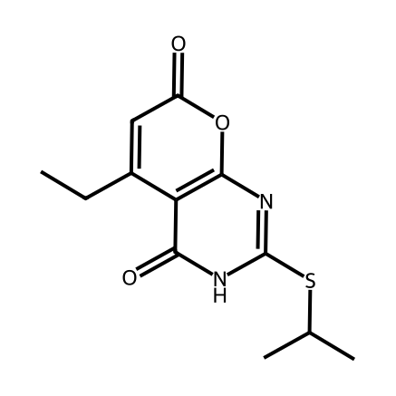 CCc1cc(=O)oc2nc(SC(C)C)[nH]c(=O)c12